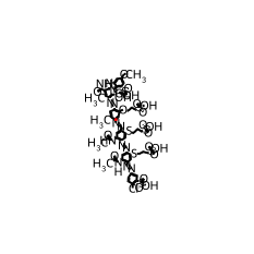 COc1cc(S(=O)(=O)O)c2c(c1)nc1c(C(N)=O)c(C)c(N=Nc3cc(C)c(N=Nc4cc(NC(C)=O)c(N=Nc5cc(NC(C)=O)c(N=Nc6ccc(Cl)c(S(=O)(=O)O)c6)cc5SCCCS(=O)(=O)O)cc4SCCCS(=O)(=O)O)cc3OCCCS(=O)(=O)O)c(O)n12